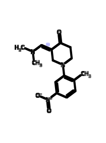 Cc1ccc([N+](=O)[O-])cc1N1CCC(=O)/C(=C/N(C)C)C1